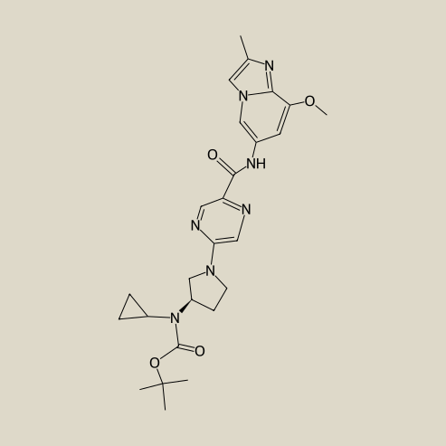 COc1cc(NC(=O)c2cnc(N3CC[C@@H](N(C(=O)OC(C)(C)C)C4CC4)C3)cn2)cn2cc(C)nc12